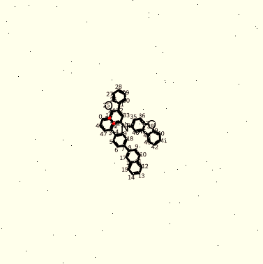 c1ccc(-c2ccc(-c3ccc4ccccc4c3)cc2N(c2ccc3oc4ccccc4c3c2)c2ccc3oc4ccccc4c3c2)cc1